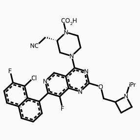 CC(C)N1CCC1COc1nc(N2CCN(C(=O)O)[C@@H](CC#N)C2)c2cnc(-c3cccc4ccc(F)c(Cl)c34)c(F)c2n1